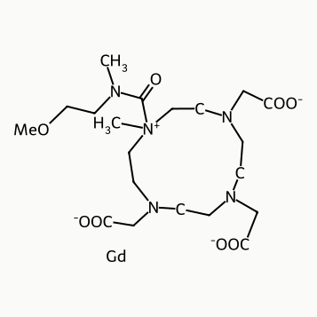 COCCN(C)C(=O)[N+]1(C)CCN(CC(=O)[O-])CCN(CC(=O)[O-])CCN(CC(=O)[O-])CC1.[Gd]